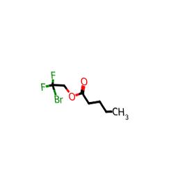 CCCCC(=O)OCC(F)(F)Br